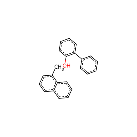 Cc1cccc2ccccc12.Oc1ccccc1-c1ccccc1